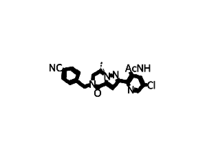 CC(=O)Nc1cc(Cl)cnc1-c1cc2n(n1)[C@@H](C)CN(Cc1ccc(C#N)cc1)C2=O